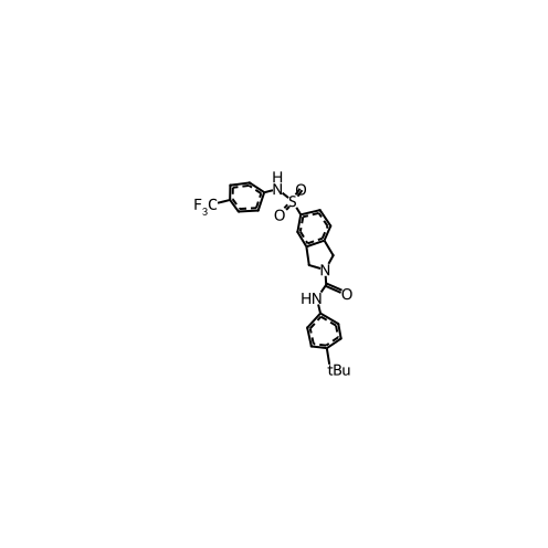 CC(C)(C)c1ccc(NC(=O)N2Cc3ccc(S(=O)(=O)Nc4ccc(C(F)(F)F)cc4)cc3C2)cc1